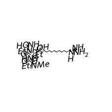 CC[C@@H](NC(C)C(=O)C(C)(C)OC(C)C(NC(=O)CC(C)(CC)C(O)CCCCCCCCCCCCNC(=N)N)C(=O)C(C)(CC)NC)C(N)O